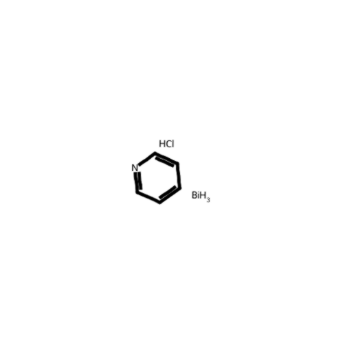 Cl.[BiH3].c1ccncc1